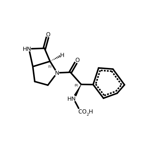 O=C(O)N[C@@H](C(=O)N1CCC2NC(=O)[C@H]21)c1ccccc1